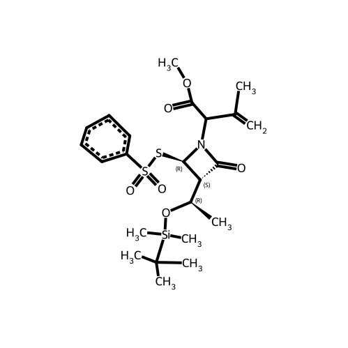 C=C(C)C(C(=O)OC)N1C(=O)[C@H]([C@@H](C)O[Si](C)(C)C(C)(C)C)[C@H]1SS(=O)(=O)c1ccccc1